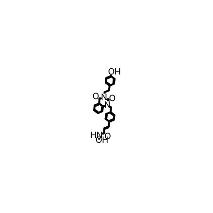 O=C(C=Cc1ccc(Cn2c(=O)n(CCc3ccc(O)cc3)c(=O)c3ccccc32)cc1)NO